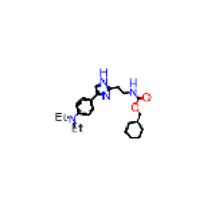 CCN(CC)c1ccc(-c2c[nH]c(CCNC(=O)OCC3CCCCC3)n2)cc1